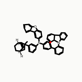 CC1(c2cccc(N(c3ccc(-c4ccccc4N4c5ccccc5C5C=CC=CC54)cc3)c3ccc4oc5ccccc5c4c3)c2)C[C@H]2C#C[C@@H](CC2)C1